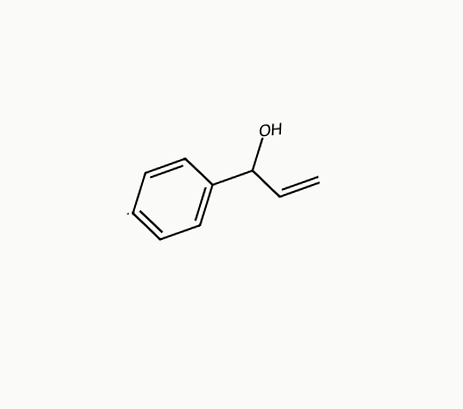 C=CC(O)c1cc[c]cc1